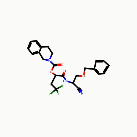 N#CC(COCc1ccccc1)NC(=O)C(CC(F)(F)F)OC(=O)N1CCc2ccccc2C1